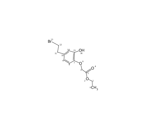 CCOC(=O)COc1ccc(CCBr)cc1O